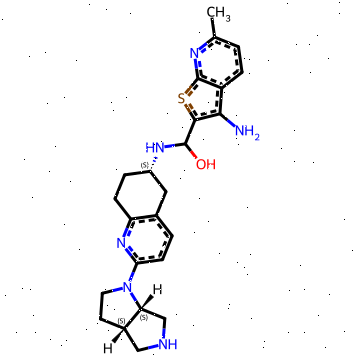 Cc1ccc2c(N)c(C(O)N[C@H]3CCc4nc(N5CC[C@H]6CNC[C@H]65)ccc4C3)sc2n1